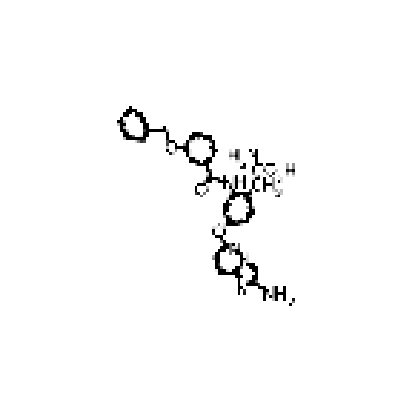 Cc1ccc(Oc2ccc3nc(N)cn3n2)cc1NC(=O)c1cccc(OCc2ccccc2)c1.NC(=O)O